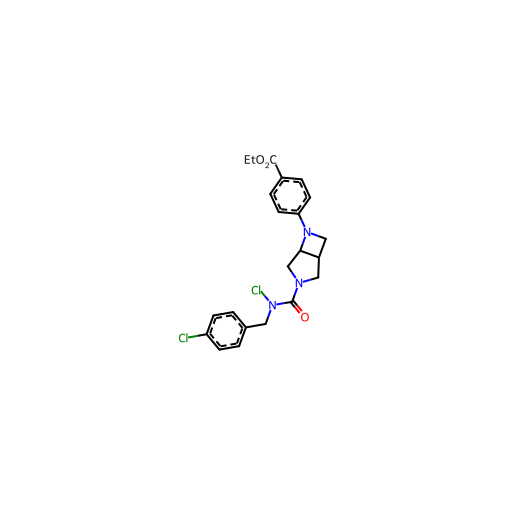 CCOC(=O)c1ccc(N2CC3CN(C(=O)N(Cl)Cc4ccc(Cl)cc4)CC32)cc1